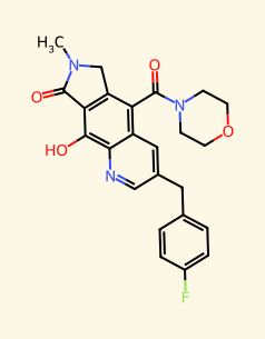 CN1Cc2c(c(O)c3ncc(Cc4ccc(F)cc4)cc3c2C(=O)N2CCOCC2)C1=O